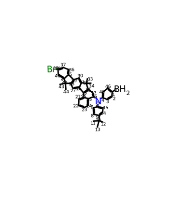 Bc1ccc(N(c2ccc(C(C)(C)C)cc2)c2cc3c(c4ccccc24)-c2cc4c(cc2C3(C)C)-c2ccc(Br)cc2C4(C)C)cc1